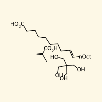 C=C(C)C(=O)O.CCCCCCCCC=CCCCCCCCC(=O)O.OCC(CO)(CO)CO